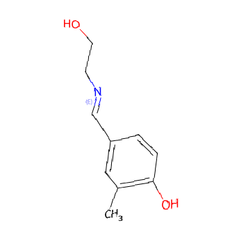 Cc1cc(/C=N/CCO)ccc1O